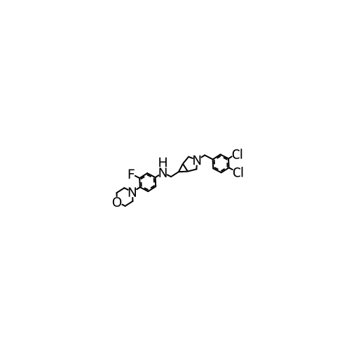 Fc1cc(NCC2C3CN(Cc4ccc(Cl)c(Cl)c4)CC23)ccc1N1CCOCC1